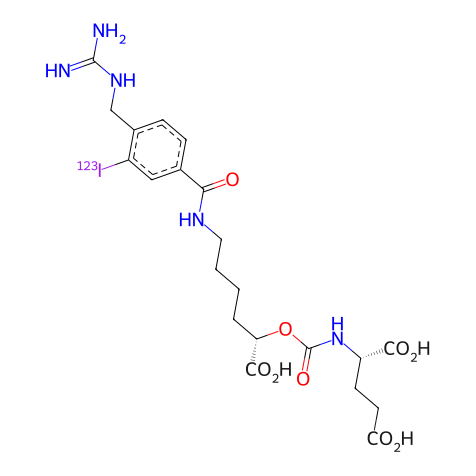 N=C(N)NCc1ccc(C(=O)NCCCC[C@H](OC(=O)N[C@@H](CCC(=O)O)C(=O)O)C(=O)O)cc1[123I]